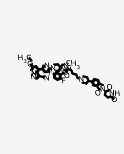 CCOc1cc(-c2ccc(N3CCC(CN(C)C(=O)CCCCN4CCC(c5ccc6c(c5)C(=O)N(C5CCC(=O)NC5=O)C6)CC4)(NC(=O)c4cc(F)ccc4F)CC3)nc2)c2c(C#N)cnn2c1